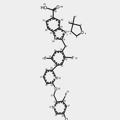 CC1(C)COC[C@@H]1n1c(Cc2cc(F)c(-c3cccc(OCc4ncc(Cl)cc4F)n3)cc2F)nc2ccc(C(=O)O)cc21